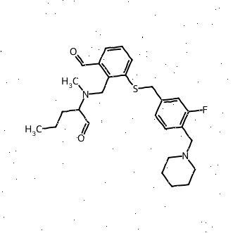 CCCC(C=O)N(C)Cc1c(C=O)cccc1SCc1ccc(CN2CCCCC2)c(F)c1